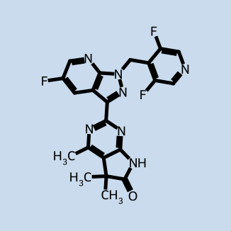 Cc1nc(-c2nn(Cc3c(F)cncc3F)c3ncc(F)cc23)nc2c1C(C)(C)C(=O)N2